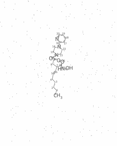 CCCCCC#CC(CS(=O)(=O)N1CCN(c2ccccn2)CC1)C(=O)NO